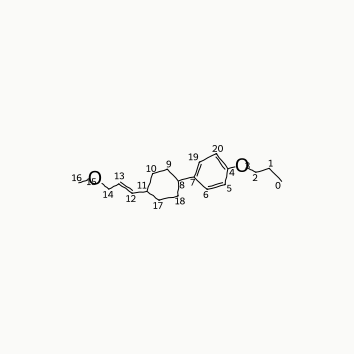 CCCOc1ccc(C2CCC(C=CCOC)CC2)cc1